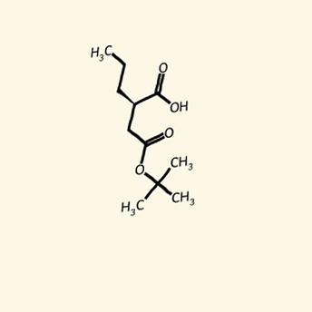 CCC[C@H](CC(=O)OC(C)(C)C)C(=O)O